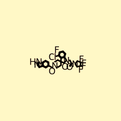 O=C(CN1C(=O)C2(CCN(C(=O)c3ccc4[nH]ncc4c3)CC2)c2c1ccc(F)c2Cl)N1CC(F)(F)C(F)(F)C1